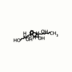 CCCCC[C@@H](O)CC[C@@H]1[C@H]2Cc3cccc(OCC(O)NCCCO)c3C[C@H]2C[C@H]1O